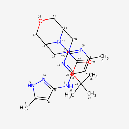 Cc1cc(Nc2cc(C)[nH]n2)nc(N2C3COCC2CN(C(=O)OC(C)(C)C)C3)n1